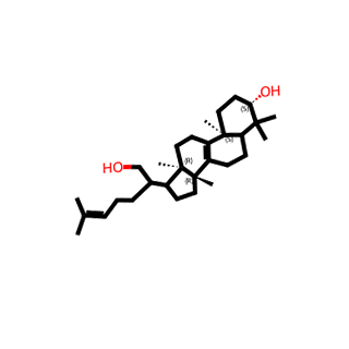 CC(C)=CCCC(CO)C1CC[C@@]2(C)C3=C(CC[C@]12C)[C@@]1(C)CC[C@H](O)C(C)(C)C1CC3